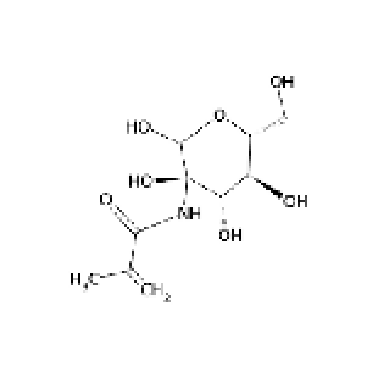 C=C(C)C(=O)N[C@]1(O)C(O)O[C@H](CO)[C@@H](O)[C@@H]1O